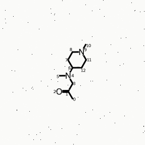 CC(=O)CN(C)C1CCN(C)CC1